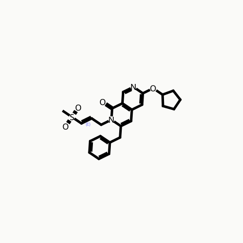 CS(=O)(=O)/C=C/Cn1c(Cc2ccccc2)cc2cc(OC3CCCC3)ncc2c1=O